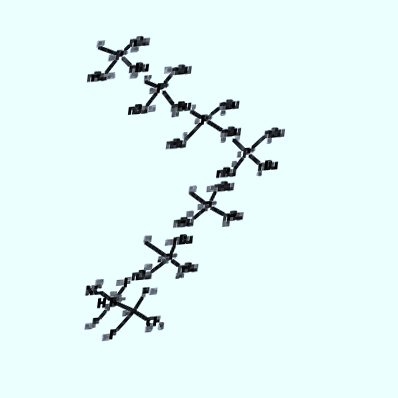 CCCC[P+](C)(CCCC)CCCC.CCCC[P+](C)(CCCC)CCCC.CCCC[P+](C)(CCCC)CCCC.CCCC[P+](C)(CCCC)CCCC.CCCC[P+](C)(CCCC)CCCC.CCCC[P+](C)(CCCC)CCCC.N#C[BH5-6](F)(F)C(F)(F)C(F)(F)F